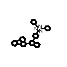 c1ccc(-c2nc(-c3ccccc3)nc(-c3ccc(-c4cc(-c5ccc6c7c(cccc57)-c5ccccc5-6)cc5ccccc45)cc3)n2)cc1